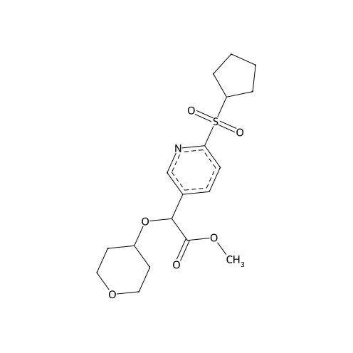 COC(=O)C(OC1CCOCC1)c1ccc(S(=O)(=O)C2CCCC2)nc1